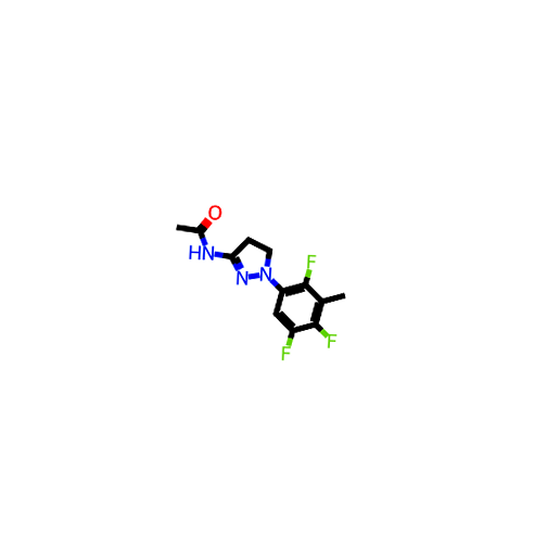 CC(=O)NC1=NN(c2cc(F)c(F)c(C)c2F)CC1